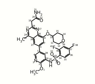 COc1ncc(-c2cc(OC3CCOCC3)c3nc(CC(N)=O)nc(C)c3c2)cc1NS(=O)(=O)c1ccc(F)cc1F